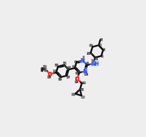 CC1CCC(Nc2ncc(-c3ccc(OC(C)C)cc3)c(OCC3CC3)n2)CC1